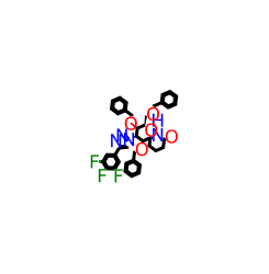 O=C1CCCC2(N1)O[C@H](COCc1ccccc1)[C@H](OCc1ccccc1)[C@H](n1cc(-c3cc(F)c(F)c(F)c3)nn1)[C@H]2OCc1ccccc1